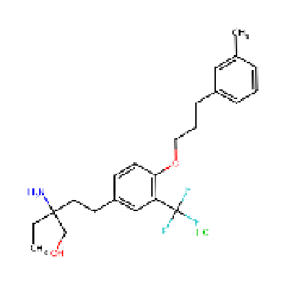 CCC(N)(CO)CCc1ccc(OCCCc2cccc(C)c2)c(C(F)(F)F)c1.Cl